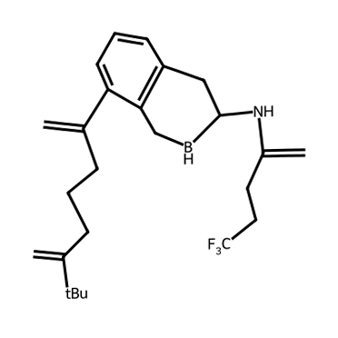 C=C(CCC(F)(F)F)NC1BCc2c(cccc2C(=C)CCCC(=C)C(C)(C)C)C1